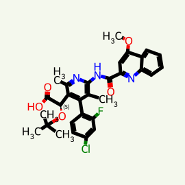 COc1cc(C(=O)Nc2nc(C)c([C@H](OC(C)(C)C)C(=O)O)c(-c3ccc(Cl)cc3F)c2C)nc2ccccc12